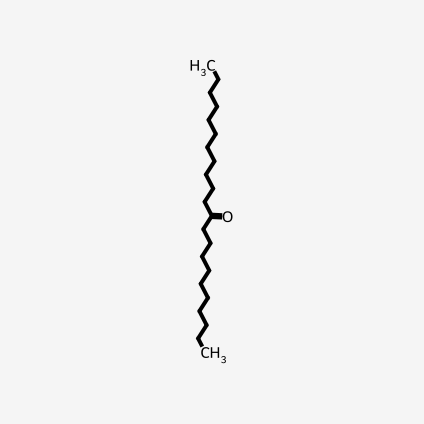 CCCCCCCCCCCC(=O)CCCCCCCCCC